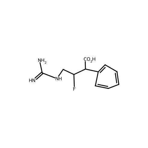 N=C(N)NCC(F)C(C(=O)O)c1ccccc1